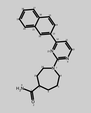 NC(=O)C1CCCN(c2nccc(-c3ccc4ccccc4c3)n2)CC1